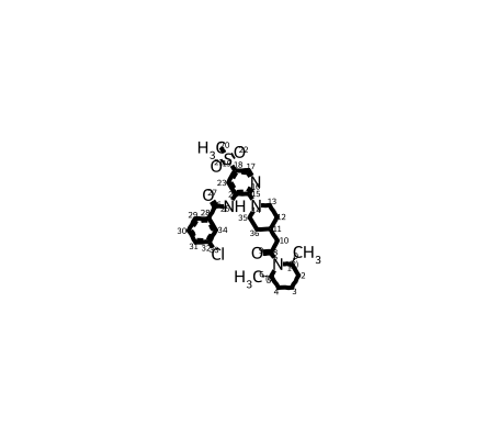 C[C@@H]1CCC[C@H](C)N1C(=O)CC1CCN(c2ncc(S(C)(=O)=O)cc2NC(=O)c2cccc(Cl)c2)CC1